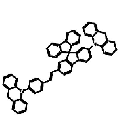 C1=CC2=C(CC1)Cc1ccccc1N2c1ccc2c(c1)C1(c3ccccc3-c3ccccc31)c1cc(/C=C/c3ccc(N4c5ccccc5Cc5ccccc54)cc3)ccc1-2